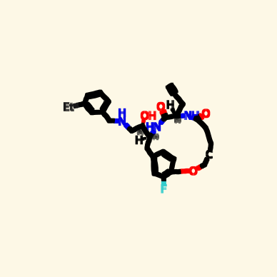 C#CC[C@@H]1NC(=O)CCCCOc2ccc(cc2F)C[C@@H]([C@H](O)CNCc2cccc(CC)c2)NC1=O